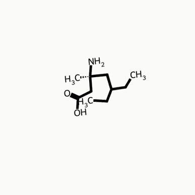 CCC(CC)C[C@](C)(N)CC(=O)O